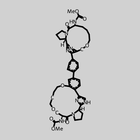 COC(=O)N[C@H]1COCCCCOc2cc(-c3ccc(-c4nc5[nH]c4COCCCC[C@H](NC(=O)OC)C(=O)N4CCC[C@@H]54)cc3)ccc2-c2c[nH]c(n2)[C@@H]2CCCN2C1=O